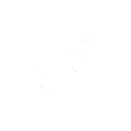 C=C(CCC)C(=C)C(N)CCC(N)=O